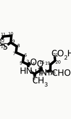 CC(NC(=O)CCCCC1CCSS1)C(=O)N[C@@H](C=O)CCC(=O)O